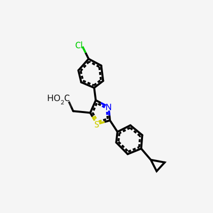 O=C(O)Cc1sc(-c2ccc(C3CC3)cc2)nc1-c1ccc(Cl)cc1